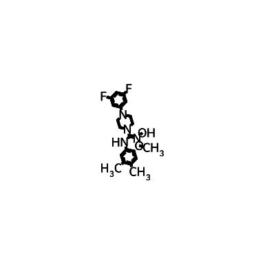 COc1cc(C)c(C)cc1NC(=NO)N1CCN(c2cc(F)cc(F)c2)CC1